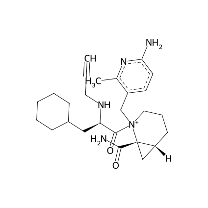 C#CCN[C@H](CC1CCCCC1)C(=O)[N+]1(Cc2ccc(N)nc2C)CCC[C@@H]2C[C@@]21C(N)=O